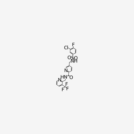 O=C(NCc1ncccc1C(F)(F)F)c1ccc(CNS(=O)(=O)c2ccc(F)c(Cl)c2)cn1